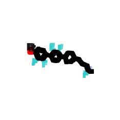 CCOc1ccc(-c2ccc(C3CCC(CC/C=C(/C)F)CC3)c(F)c2F)c(F)c1F